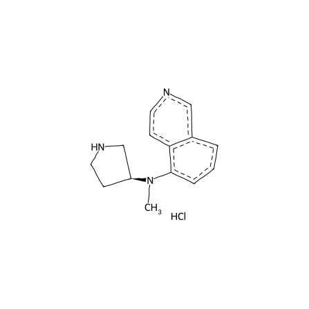 CN(c1cccc2cnccc12)[C@H]1CCNC1.Cl